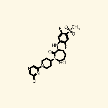 CS(=O)(=O)c1cc(F)c(N[C@H]2CCCCN(C3CCN(c4cncc(Cl)n4)CC3)C2=O)cc1F.Cl